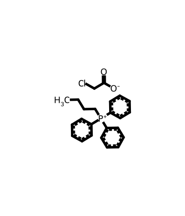 CCCC[P+](c1ccccc1)(c1ccccc1)c1ccccc1.O=C([O-])CCl